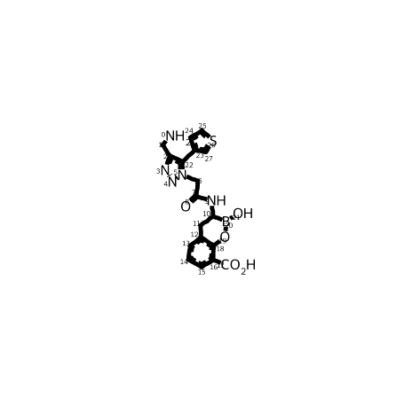 NCc1nnn(CC(=O)NC2Cc3cccc(C(=O)O)c3OB2O)c1-c1ccsc1